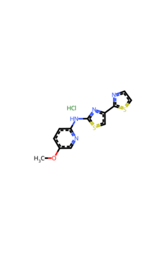 COc1ccc(Nc2nc(-c3nccs3)cs2)nc1.Cl